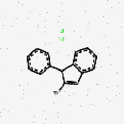 [Cl-].[Cl-].[Ti+2][C]1=Cc2ccccc2C1c1ccccc1